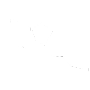 CC(C)(C)[C@H]1[C@@H](OCCO)CCN1C(=O)O